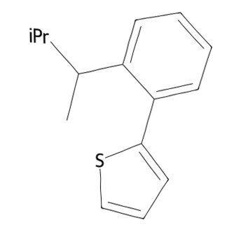 CC(C)C(C)c1ccccc1-c1cccs1